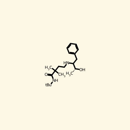 C[C@@H](O)[C](Cc1ccccc1)NCCC(C)(C)C(=O)NC(C)(C)C